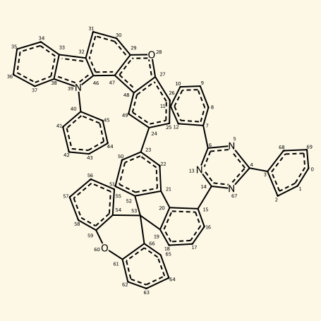 c1ccc(-c2nc(-c3ccccc3)nc(-c3cccc4c3-c3cc(-c5ccc6oc7ccc8c9ccccc9n(-c9ccccc9)c8c7c6c5)ccc3C43c4ccccc4Oc4ccccc43)n2)cc1